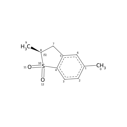 Cc1ccc2c(c1)C[C@H](C)S2(=O)=O